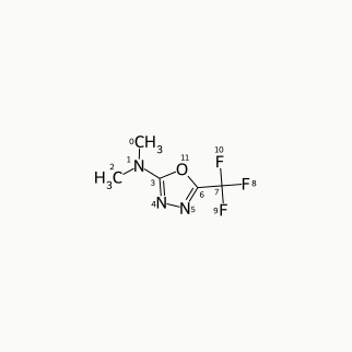 CN(C)c1nnc(C(F)(F)F)o1